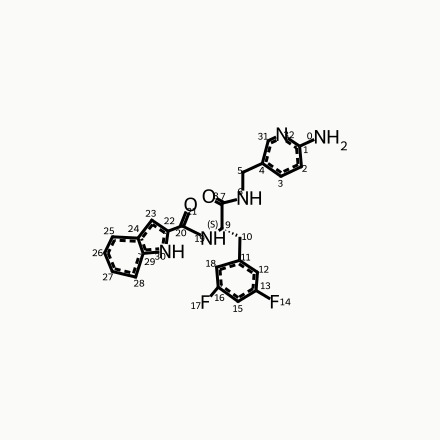 Nc1ccc(CNC(=O)[C@H](Cc2cc(F)cc(F)c2)NC(=O)c2cc3ccccc3[nH]2)cn1